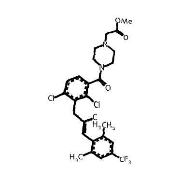 COC(=O)CN1CCN(C(=O)c2ccc(Cl)c(C/C(C)=C/c3c(C)cc(C(F)(F)F)cc3C)c2Cl)CC1